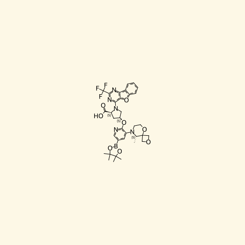 C[C@@H]1N(c2cc(B3OC(C)(C)C(C)(C)O3)cnc2O[C@H]2C[C@@H](C(=O)O)N(c3nc(C(F)(F)F)nc4c3oc3ccccc34)C2)CCOC12COC2